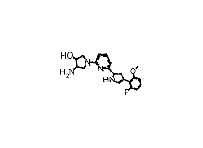 COc1cccc(F)c1C1=CNC(c2cccc(N3CC(N)C(O)C3)n2)C1